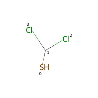 SC(Cl)Cl